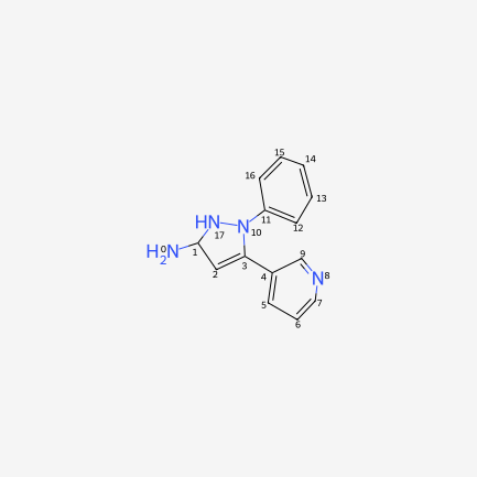 NC1C=C(c2cccnc2)N(c2ccccc2)N1